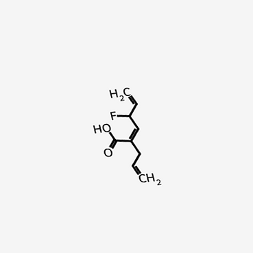 C=CCC(=CC(F)C=C)C(=O)O